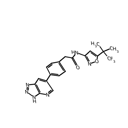 CC(C)(c1cc(NC(=O)Cc2ccc(-c3cnc4[nH]nnc4c3)cc2)no1)C(F)(F)F